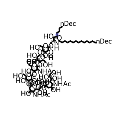 CCCCCCCCCCCCC/C=C/[C@@H](O)[C@H](CO[C@@H]1OC(CO)[C@@H](O[C@@H]2OC(CO)[C@H](O[C@@H]3OC(CO)[C@H](O)[C@H](O[C@@H]4OC(CO)[C@H](O)[C@H](O[C@]5(C(=O)O)CC(O)[C@@H](NC(C)=O)C([C@H](O)[C@@H](CO)O[C@]6(C(=O)O)CC(O)[C@@H](NC(C)=O)C([C@H](O)[C@H](O)CO)O6)O5)C4O)C3NC(C)=O)[C@H](O)C2O)[C@H](O)C1O)NC(=O)CCCCCCCCCCCCCCCCCCCCCCC